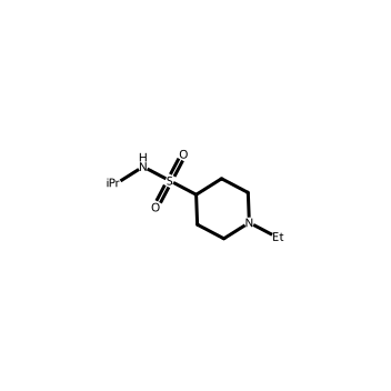 CCN1CCC(S(=O)(=O)NC(C)C)CC1